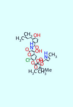 CO[C@@H]1C(OC(=O)c2ccc(C)[nH]2)[C@@H](O)[C@H](Oc2ccc3c(O)c(NC(=O)c4ccc(O)c(CC=C(C)C)c4)c(=O)oc3c2Cl)OC1(C)C